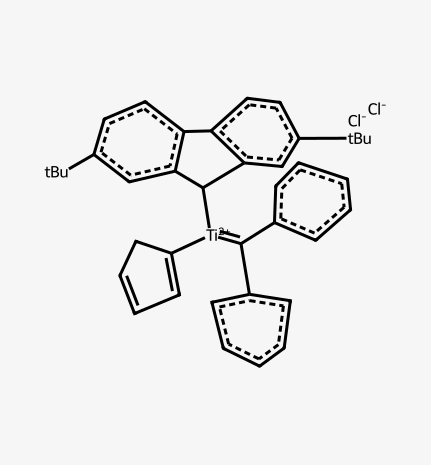 CC(C)(C)c1ccc2c(c1)[CH]([Ti+2]([C]1=CC=CC1)=[C](c1ccccc1)c1ccccc1)c1cc(C(C)(C)C)ccc1-2.[Cl-].[Cl-]